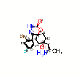 C[C@H](N)CC1(O)CCC2(CC1)OC(=O)NN=C2c1ccc(F)cc1Br